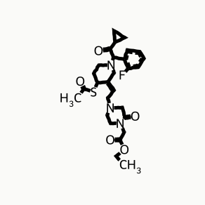 CCOC(=O)CN1CCN(CC=C2CN(C(C(=O)C3CC3)c3ccccc3F)CCC2SC(C)=O)CC1=O